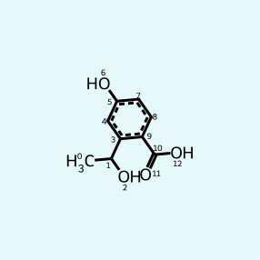 CC(O)c1cc(O)ccc1C(=O)O